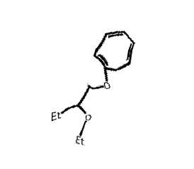 CCOC(CC)COc1ccccc1